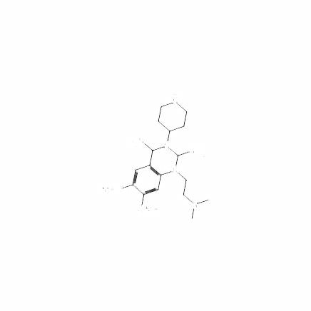 COc1cc2c(cc1OC)N(CCN(C)C)C(N)N(C1CCNCC1)C2N